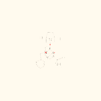 CS(=O)(=O)N(CCN1[C@@H]2CC[C@H]1C[C@@H](c1cccc(C(N)=O)c1)C2)Cc1ccccc1